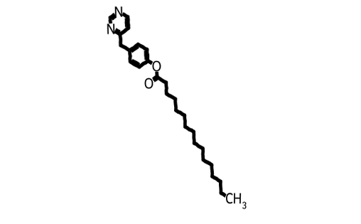 CCCCCCCCCCCCCCCC(=O)Oc1ccc(Cc2ccncn2)cc1